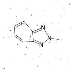 [CH2]n1nc2ccccc2n1